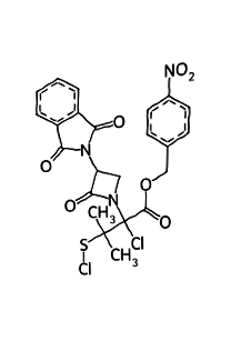 CC(C)(SCl)C(Cl)(C(=O)OCc1ccc([N+](=O)[O-])cc1)N1CC(N2C(=O)c3ccccc3C2=O)C1=O